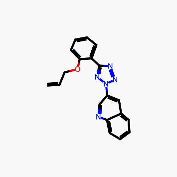 C=CCOc1ccccc1-c1nnn(-c2cnc3ccccc3c2)n1